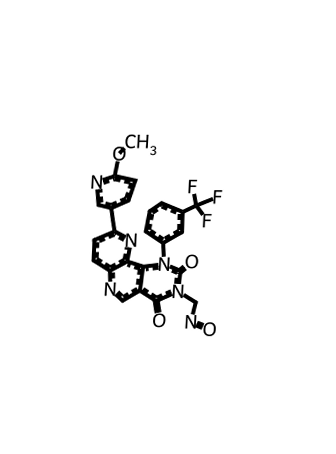 COc1ccc(-c2ccc3ncc4c(=O)n(CN=O)c(=O)n(-c5cccc(C(F)(F)F)c5)c4c3n2)cn1